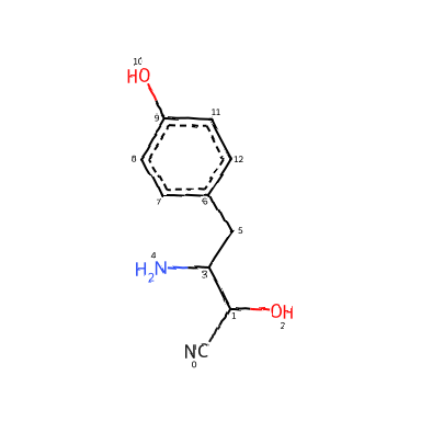 N#CC(O)C(N)Cc1ccc(O)cc1